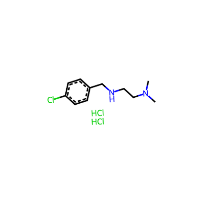 CN(C)CCNCc1ccc(Cl)cc1.Cl.Cl